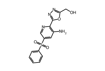 Nc1cc(S(=O)(=O)c2ccccc2)cnc1-c1nnc(CO)o1